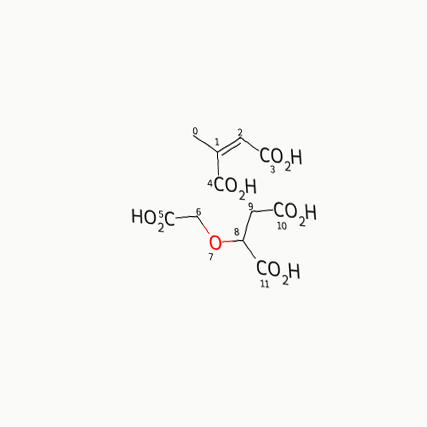 C/C(=C/C(=O)O)C(=O)O.O=C(O)COC(CC(=O)O)C(=O)O